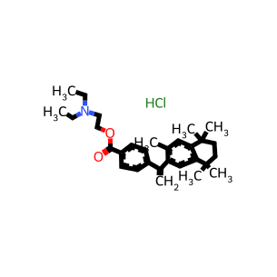 C=C(c1ccc(C(=O)OCCN(CC)CC)cc1)c1cc2c(cc1C)C(C)(C)CCC2(C)C.Cl